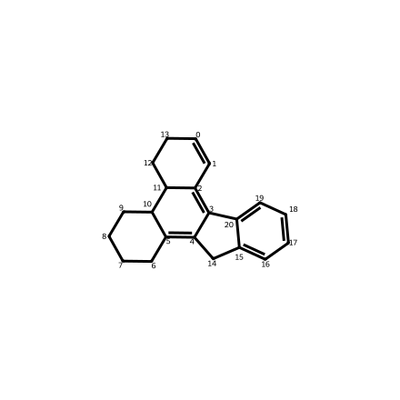 C1=CC2=C3C(=C4CCCCC4C2CC1)Cc1ccccc13